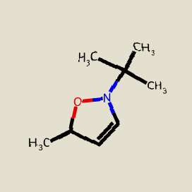 CC1C=CN(C(C)(C)C)O1